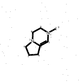 IN1C=C2CCCN2CC1